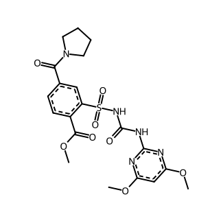 COC(=O)c1ccc(C(=O)N2CCCC2)cc1S(=O)(=O)NC(=O)Nc1nc(OC)cc(OC)n1